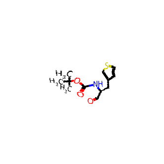 CC(C)(C)OC(=O)N[C@H](C=O)Cc1ccsc1